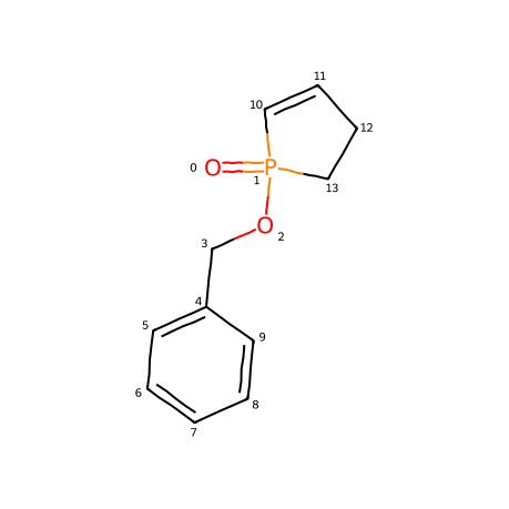 O=P1(OCc2ccccc2)C=CCC1